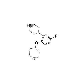 Fc1ccc(OC2CCOCC2)c(C2CCNCC2)c1